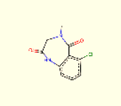 CN1CC(=O)Nc2cccc(Cl)c2C1=O